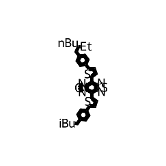 CCCCC(CC)Cc1ccc(-c2ccc(-c3c4c(c(-c5ccc(-c6ccc(CC(C)CC)cc6)s5)c5nonc35)N=S=N4)s2)cc1